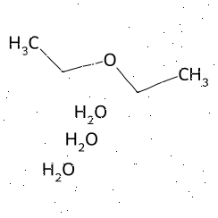 CCOCC.O.O.O